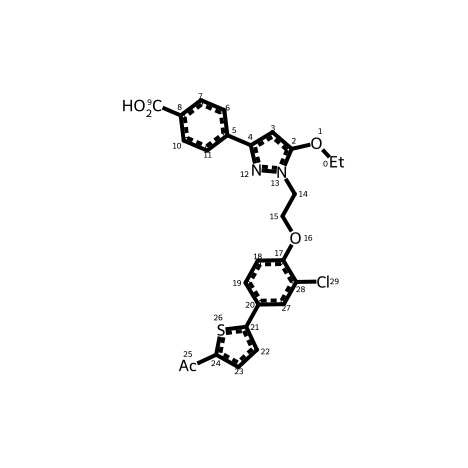 CCOc1cc(-c2ccc(C(=O)O)cc2)nn1CCOc1ccc(-c2ccc(C(C)=O)s2)cc1Cl